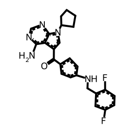 Nc1ncnc2c1c(C(=O)c1ccc(NCc3cc(F)ccc3F)cc1)cn2C1CCCC1